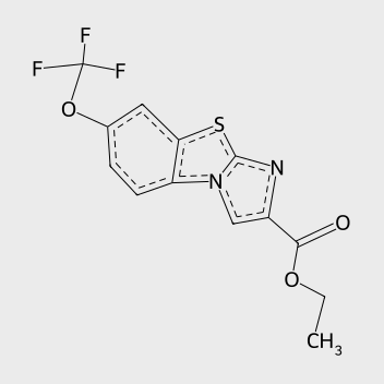 CCOC(=O)c1cn2c(n1)sc1cc(OC(F)(F)F)ccc12